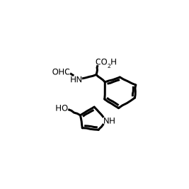 O=CNC(C(=O)O)c1ccccc1.Oc1cc[nH]c1